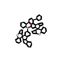 c1ccc(-c2ccc(-c3ccccc3N(c3ccc4c(c3)C3(c5ccccc5Oc5ccccc53)c3ccccc3-4)c3ccc4c(c3)C3(c5ccccc5Oc5ccccc53)c3ccc5ccccc5c3-4)cc2)cc1